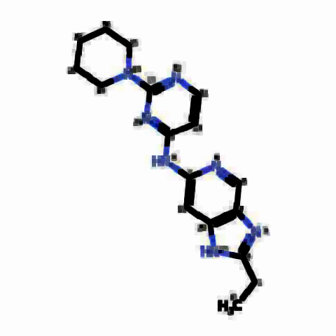 CCc1nc2cnc(Nc3ccnc(N4CCCCC4)n3)cc2[nH]1